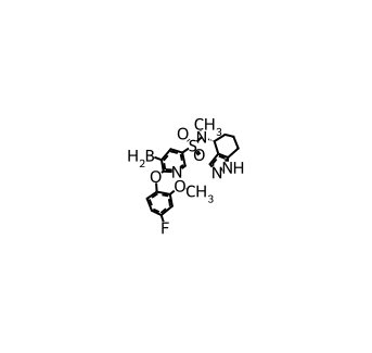 Bc1cc(S(=O)(=O)N(C)[C@@H]2CCCc3[nH]ncc32)cnc1Oc1ccc(F)cc1OC